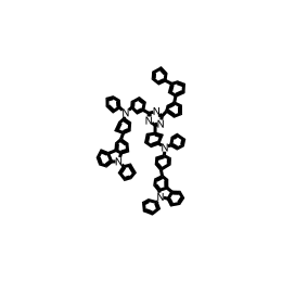 c1ccc(-c2cccc(-c3cccc(-c4nc(-c5cccc(N(c6ccccc6)c6ccc(-c7ccc8c(c7)c7ccccc7n8-c7ccccc7)cc6)c5)nc(-c5cccc(N(c6ccccc6)c6ccc(-c7ccc8c(c7)c7ccccc7n8-c7ccccc7)cc6)c5)n4)c3)c2)cc1